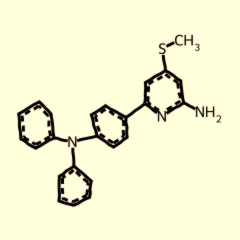 CSc1cc(N)nc(-c2ccc(N(c3ccccc3)c3ccccc3)cc2)c1